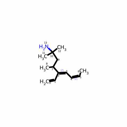 C=C/C(=C\C=C/C)C(C)CC(C)(C)N